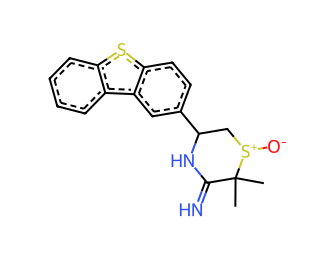 CC1(C)C(=N)NC(c2ccc3sc4ccccc4c3c2)C[S+]1[O-]